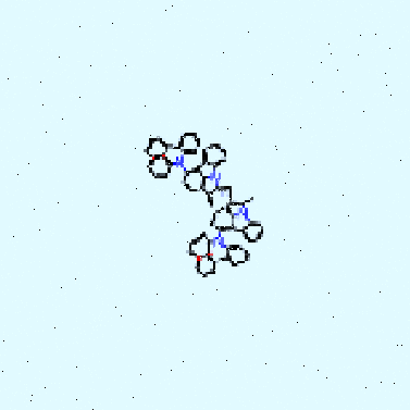 C=c1/c(=C\c2c(C)n3c4ccccc4c4c(N(c5ccccc5)c5ccccc5-c5ccccc5)ccc2c43)n2c3ccccc3c3c(N(c4ccccc4)c4ccccc4-c4ccccc4)ccc1c32